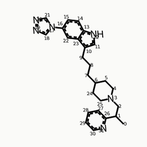 CC(CN1CCC(CCCc2c[nH]c3ccc(-n4cnnc4)cc23)CC1)c1ccccn1